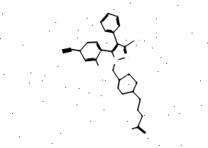 C#CC1C=C(F)C(c2c(-c3ccccc3)c(CCC)nn2CC2CCC(CCCC(=C)C)CC2)=CC1